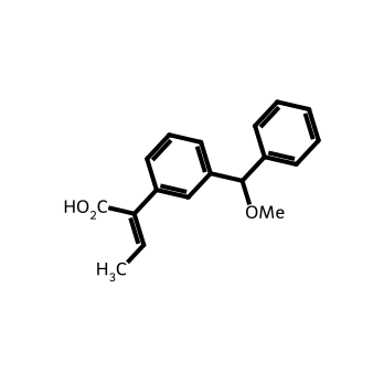 CC=C(C(=O)O)c1cccc(C(OC)c2ccccc2)c1